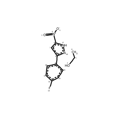 CCO.O=[N+]([O-])c1cc(-c2ccc(F)cc2)n[nH]1